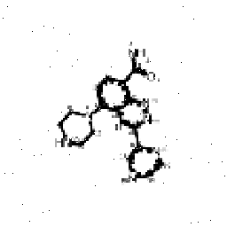 NC(=O)c1ccc(N2CCNCC2)c2cc(-c3cnccn3)nnc12